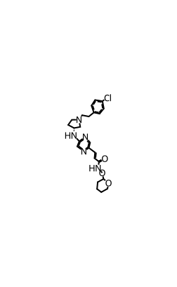 O=C(C=Cc1cnc(N[C@@H]2CCN(CCc3ccc(Cl)cc3)C2)cn1)NOC1CCCCO1